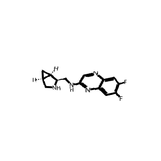 Fc1cc2ncc(NC[C@H]3NC[C@H]4C[C@H]43)nc2cc1F